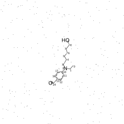 CCN(CCCCCCO)c1ccc(C=O)cc1